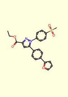 CCOC(=O)c1cc(-c2ccc(-c3ccco3)cc2)n(-c2ccc(S(C)(=O)=O)cc2)n1